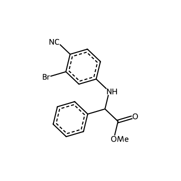 COC(=O)C(Nc1ccc(C#N)c(Br)c1)c1ccccc1